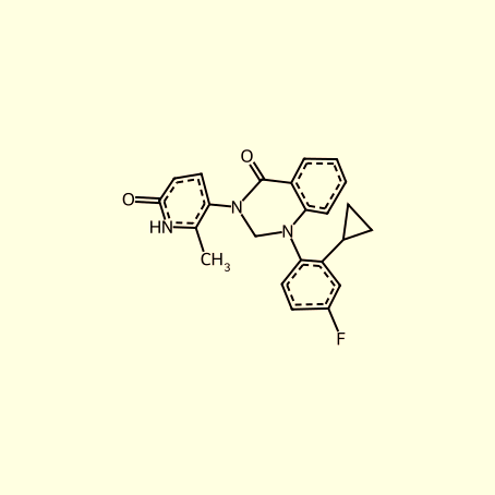 Cc1[nH]c(=O)ccc1N1CN(c2ccc(F)cc2C2CC2)c2ccccc2C1=O